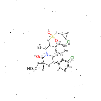 CCC(CCS(=O)(=O)CC1CC1)N1C(=O)[C@@](C)(CC(=O)O)C[C@H](c2cccc(Cl)c2)[C@H]1c1ccc(Cl)cc1